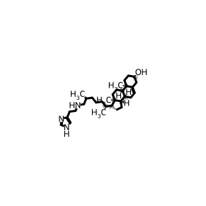 CC(CCC[C@@H](C)[C@H]1CC[C@H]2[C@@H]3CC=C4C[C@@H](O)CC[C@]4(C)[C@H]3CC[C@]12C)CNCCc1c[nH]cn1